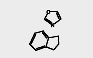 c1ccc2c(c1)CCC2.c1cocn1